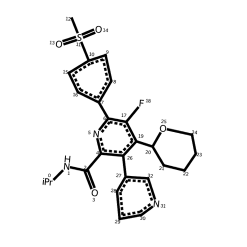 CC(C)NC(=O)c1nc(-c2ccc(S(C)(=O)=O)cc2)c(F)c(C2CCCCO2)c1-c1cccnc1